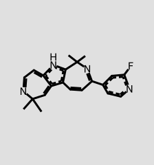 CC1(C)C=c2c3c([nH]c2=CC=N1)C(C)(C)N=C(c1ccnc(F)c1)C=C3